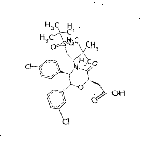 CC(C)(C)[C@@H](CS(=O)(=O)C(C)(C)C)N1C(=O)[C@@H](CC(=O)O)O[C@H](c2cccc(Cl)c2)[C@H]1c1ccc(Cl)cc1